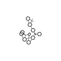 CC1(C)c2ccccc2-c2ccc(-c3ccc(N(c4ccccc4)c4ccc5c(c4)C4(c6ccccc6-5)c5ccccc5C5(c6ccccc6)c6ccccc6-c6cccc4c65)cc3)cc21